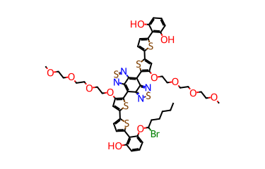 CCCCCC(Br)Oc1cccc(O)c1-c1ccc(-c2cc(OCCOCCOCCOC)c(-c3c4c(c(-c5sc(-c6ccc(-c7c(O)cccc7O)s6)cc5OCCOCCOCCOC)c5nsnc35)N=S=N4)s2)s1